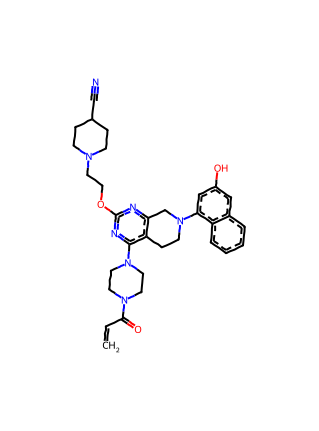 C=CC(=O)N1CCN(c2nc(OCCN3CCC(C#N)CC3)nc3c2CCN(c2cc(O)cc4ccccc24)C3)CC1